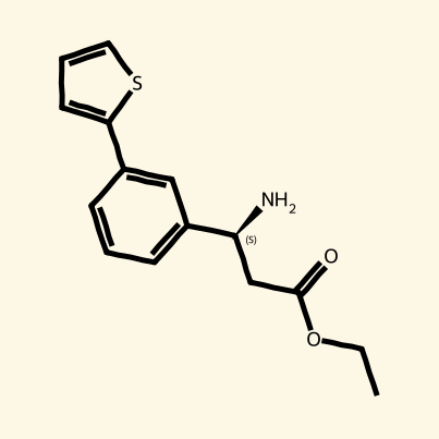 CCOC(=O)C[C@H](N)c1cccc(-c2cccs2)c1